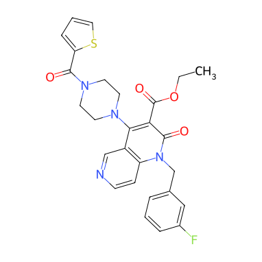 CCOC(=O)c1c(N2CCN(C(=O)c3cccs3)CC2)c2cnccc2n(Cc2cccc(F)c2)c1=O